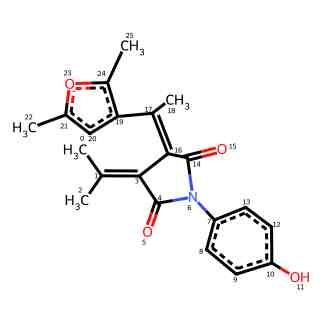 CC(C)=C1C(=O)N(c2ccc(O)cc2)C(=O)/C1=C(\C)c1cc(C)oc1C